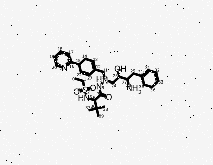 CCS(=O)(=O)NC(C(=O)NN(CC1=CCC(c2ccccn2)C=C1)CC(O)C(N)CC1=CC=CCC1)C(C)(C)C